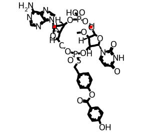 CO[C@H]1[C@H]2OP(=O)(SCc3ccc(OC(=O)c4ccc(O)cc4)cc3)OC[C@H]3O[C@@H](n4cnc5c(N)ncnc54)[C@H](OP(=O)(O)OC[C@H]1O[C@H]2n1ccc(=O)[nH]c1=O)[C@@H]3F